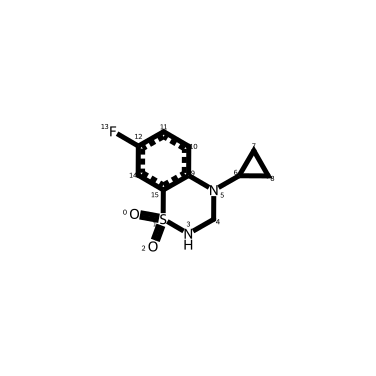 O=S1(=O)NCN(C2CC2)c2ccc(F)cc21